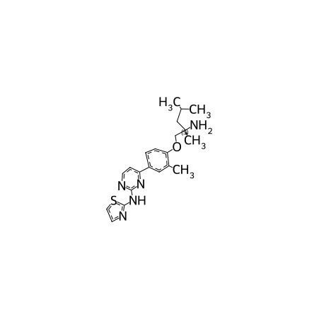 Cc1cc(-c2ccnc(Nc3nccs3)n2)ccc1OC[C@@](C)(N)CC(C)C